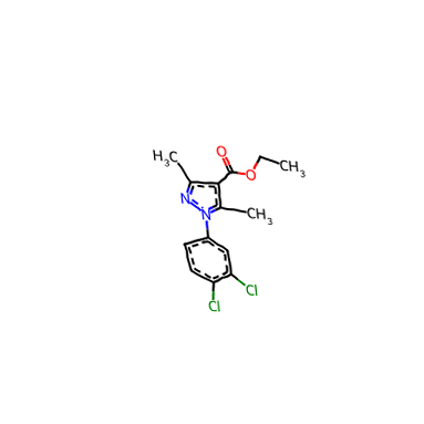 CCOC(=O)c1c(C)nn(-c2ccc(Cl)c(Cl)c2)c1C